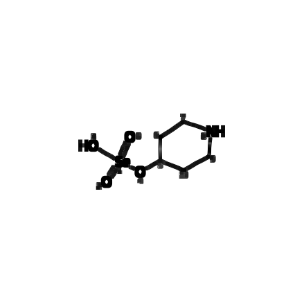 O=[Se](=O)(O)OC1CCNCC1